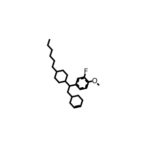 CCCCCCC1CCC(C(CC2CC=CCC2)c2ccc(OC)c(F)c2)CC1